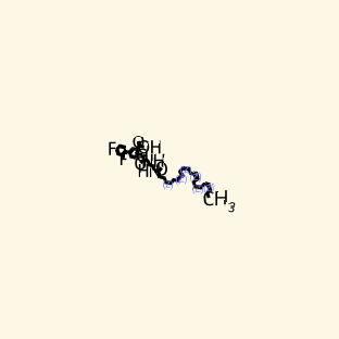 CC/C=C\C/C=C\C/C=C\C/C=C\C/C=C\C/C=C\CCC(=O)NCCNC(=O)Oc1ccc(-c2ccc(F)cc2F)cc1C(=O)O